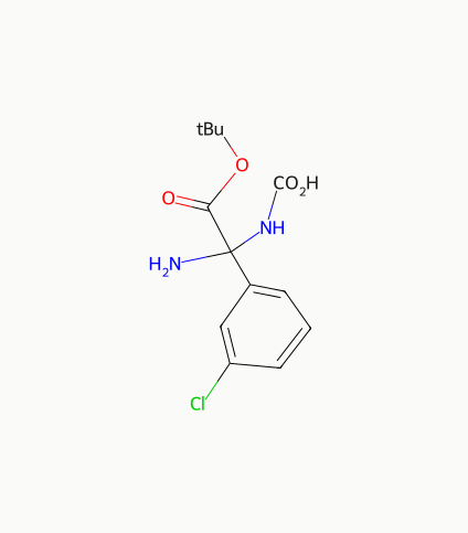 CC(C)(C)OC(=O)C(N)(NC(=O)O)c1cccc(Cl)c1